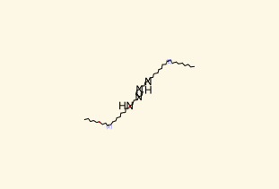 CCCCCCCC/C=C\CCCCCCCCNCCCN1CCN(CCCNCCCCCCCC/C=C\CCCCCCCC)CC1